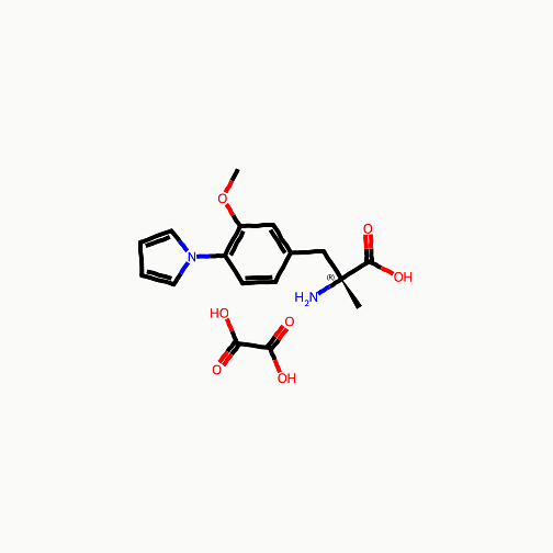 COc1cc(C[C@@](C)(N)C(=O)O)ccc1-n1cccc1.O=C(O)C(=O)O